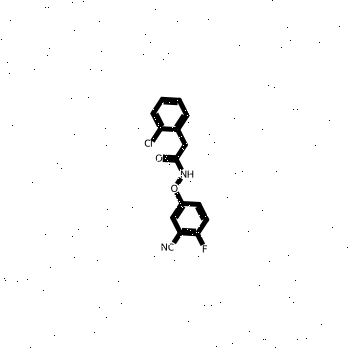 N#Cc1cc(ONC(=O)Cc2ccccc2Cl)ccc1F